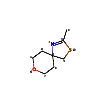 CC1=NC2(CCOCC2)CS1